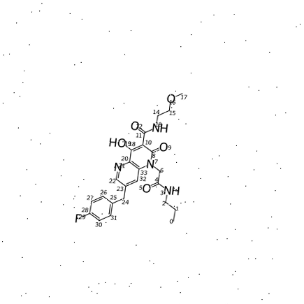 CCCNC(=O)Cn1c(=O)c(C(=O)NCCOC)c(O)c2ncc(Cc3ccc(F)cc3)cc21